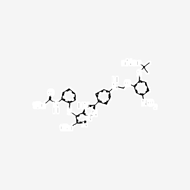 CCCCCCCCCC(C)(C)Sc1ccc([N+](=O)[O-])cc1OCNc1ccc(-c2nn3nc(C(C)(C)C)c(Sc4ccccc4NC(=O)C(C)(C)C)c3[nH]2)cc1